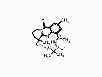 Cc1cc([C@@H](C)N[S@+]([O-])C(C)(C)C)c2nc3n(c(=O)c2c1)CCCC3(C)C